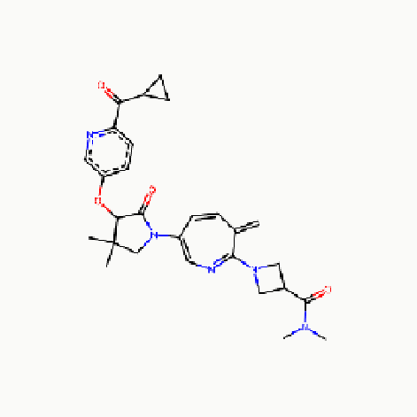 C=C1C=CC(N2CC(C)(C)C(Oc3ccc(C(=O)C4CC4)nc3)C2=O)=CN=C1N1CC(C(=O)N(C)C)C1